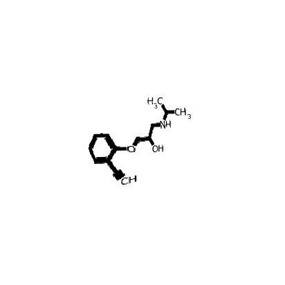 C#Cc1ccccc1OCC(O)CNC(C)C